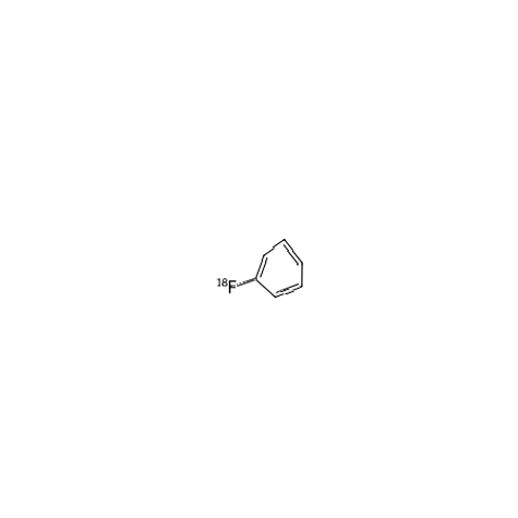 [18F]c1ccccc1